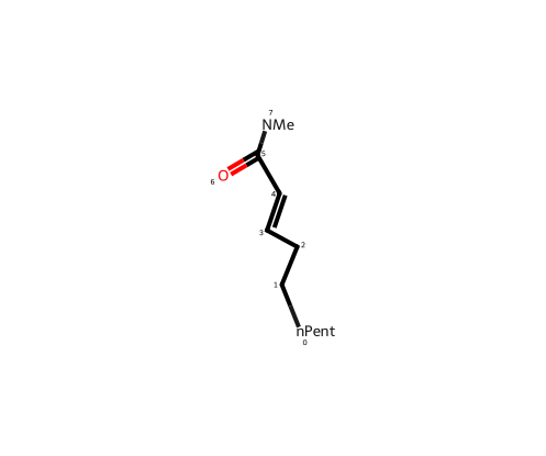 CCCCCCC/C=C/C(=O)NC